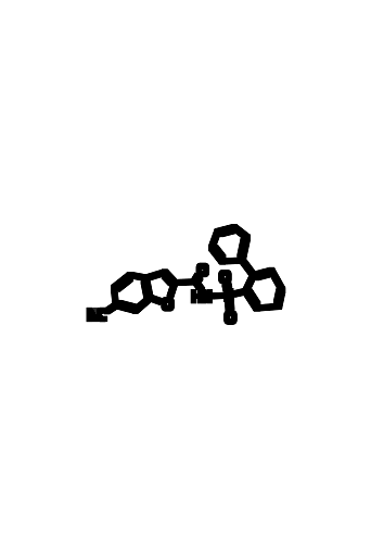 N#Cc1ccc2cc(C(=O)NS(=O)(=O)c3ccccc3-c3ccccc3)oc2c1